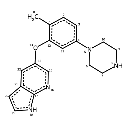 Cc1ccc(N2CCNCC2)cc1Oc1cnc2[nH]ccc2c1